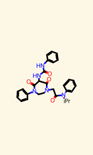 CC(C)N(C(=O)CN1CCN(c2ccccc2)C(=O)C(NC(=O)Nc2ccccc2)C1=O)c1ccccc1